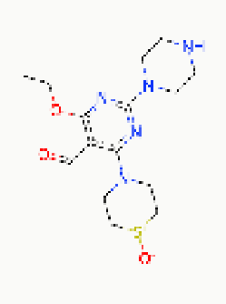 CCOc1nc(N2CCNCC2)nc(N2CC[S+]([O-])CC2)c1C=O